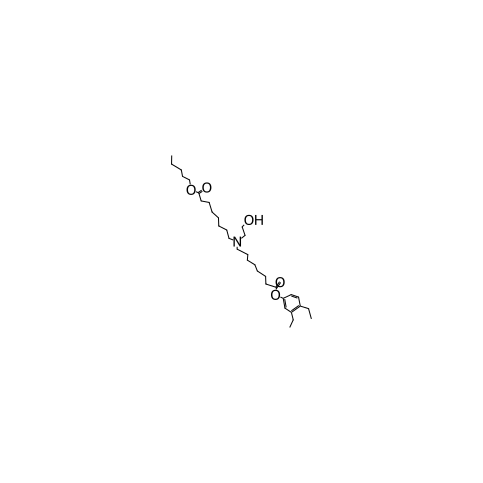 CCCCCOC(=O)CCCCCCCN(CCO)CCCCCCCC(=O)Oc1ccc(CC)c(CC)c1